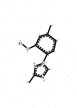 CCOc1cc(C)ccc1-n1cnc(C)n1